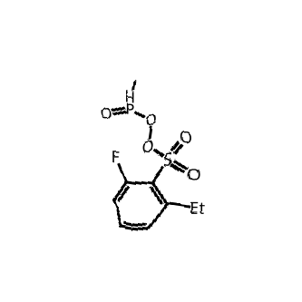 CCc1cccc(F)c1S(=O)(=O)OO[PH](C)=O